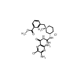 COC(=O)c1cccc(C[N+]2(C)CCC[C@H](NC(=N)NC(=O)c3nc(Cl)c(N)nc3N)C2)c1.[Cl-]